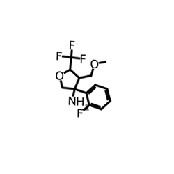 COCC1C(C(F)(F)F)OCC1(N)c1ccccc1F